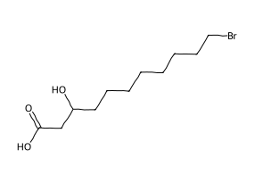 O=C(O)CC(O)CCCCCCCCBr